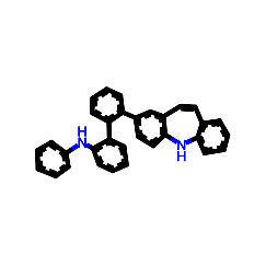 C1=Cc2cc(-c3ccccc3-c3ccccc3Nc3ccccc3)ccc2Nc2ccccc21